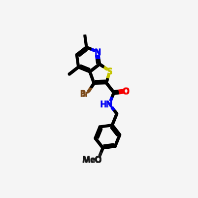 COc1ccc(CNC(=O)c2sc3nc(C)cc(C)c3c2Br)cc1